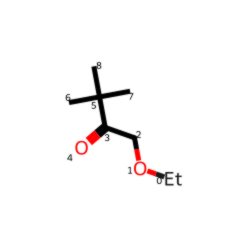 CCOCC(=O)C(C)(C)C